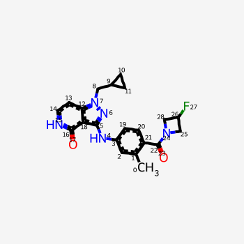 Cc1cc(Nc2nn(CC3CC3)c3cc[nH]c(=O)c23)ccc1C(=O)N1CC(F)C1